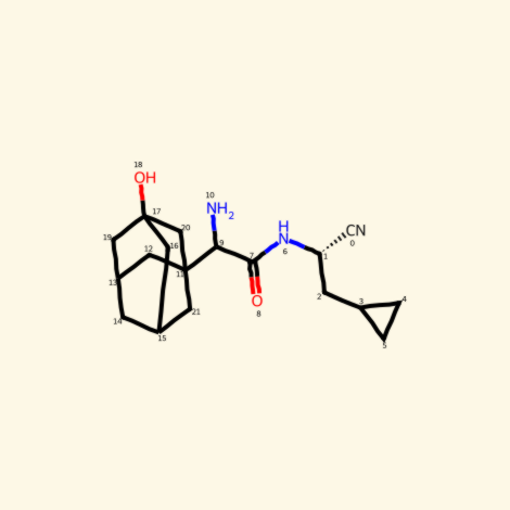 N#C[C@H](CC1CC1)NC(=O)C(N)C12CC3CC(CC(O)(C3)C1)C2